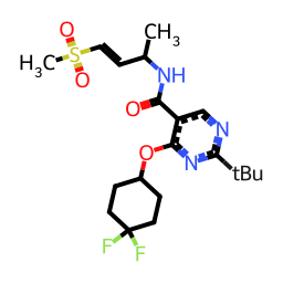 CC(/C=C/S(C)(=O)=O)NC(=O)c1cnc(C(C)(C)C)nc1OC1CCC(F)(F)CC1